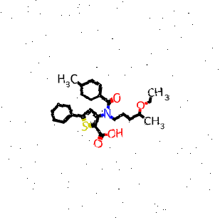 CCOC(C)CCCN(C(=O)C1CCC(C)CC1)c1cc(C2=CCCCC2)sc1C(=O)O